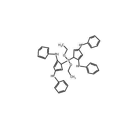 CC[O][Ti]([O]CC)([CH]1C=C(Pc2ccccc2)C=C1Pc1ccccc1)[CH]1C=C(Pc2ccccc2)C=C1Pc1ccccc1